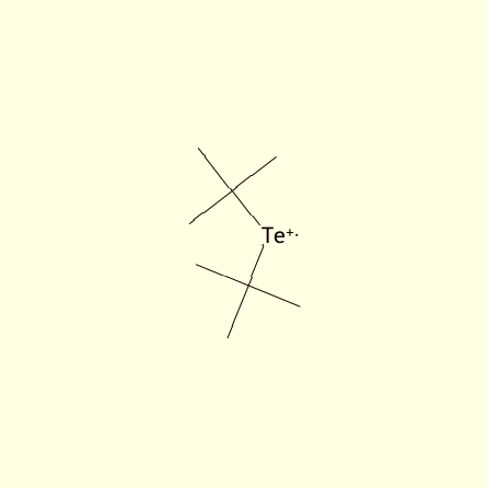 CC(C)(C)[Te+]C(C)(C)C